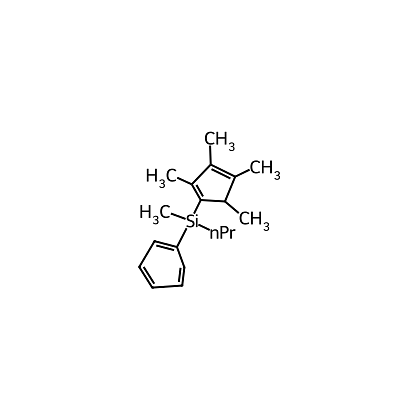 CCC[Si](C)(C1=C(C)C(C)=C(C)C1C)c1ccccc1